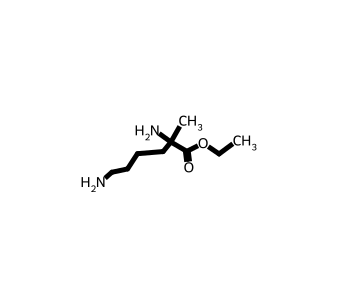 CCOC(=O)C(C)(N)CCCCN